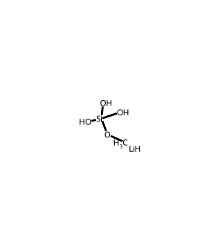 CO[Si](O)(O)O.[LiH]